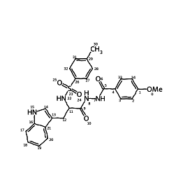 COc1ccc(C(=O)NNC(=O)C(Cc2c[nH]c3ccccc23)NS(=O)(=O)c2ccc(C)cc2)cc1